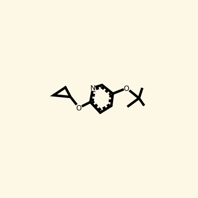 CC(C)(C)Oc1ccc(OC2CC2)nc1